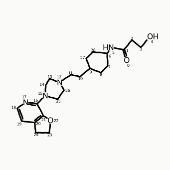 O=C(CCO)NC1CCC(CCN2CCN(c3nccc4c3OCC4)CC2)CC1